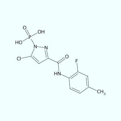 Cc1ccc(NC(=O)c2cc(Cl)n(P(=O)(O)O)n2)c(F)c1